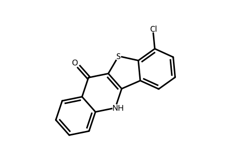 O=c1c2ccccc2[nH]c2c1sc1c(Cl)cccc12